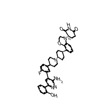 Nc1nnc(-c2ccccc2O)cc1-c1cc(C2CCN([C@H]3CC[C@H](c4cccc5c4OCCN5[C@H]4CCC(=O)NC4=O)CC3)CC2)ccc1F